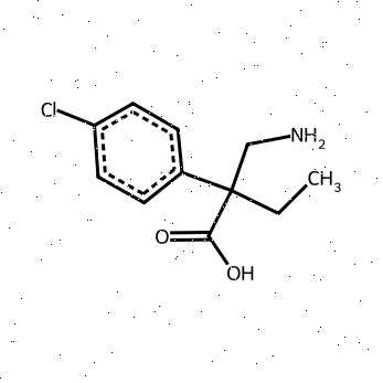 CCC(CN)(C(=O)O)c1ccc(Cl)cc1